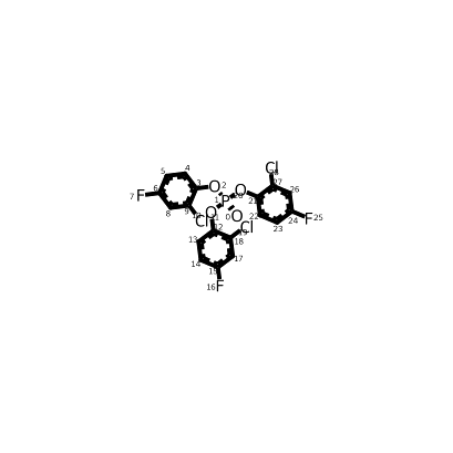 O=P(Oc1ccc(F)cc1Cl)(Oc1ccc(F)cc1Cl)Oc1ccc(F)cc1Cl